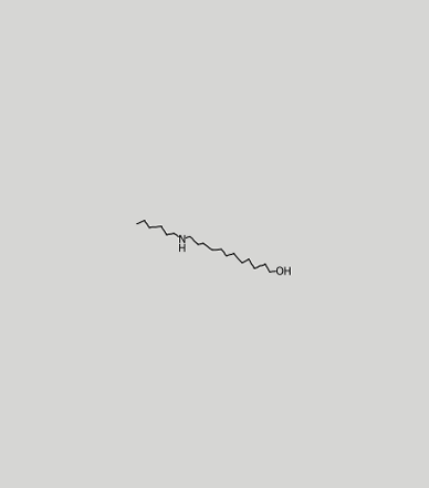 CCCCCCNCCCCCCCCCCCCO